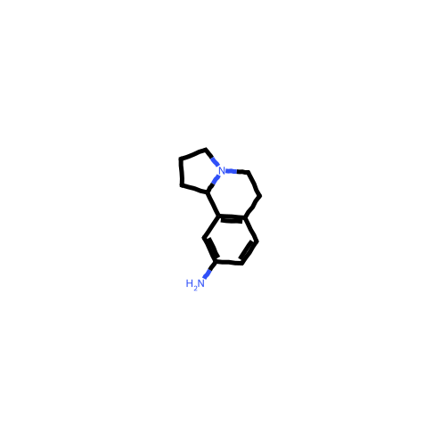 Nc1ccc2c(c1)C1CCCN1CC2